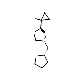 FC(F)(F)C1(C2=NN(C[C@H]3CCCO3)CS2)CC1